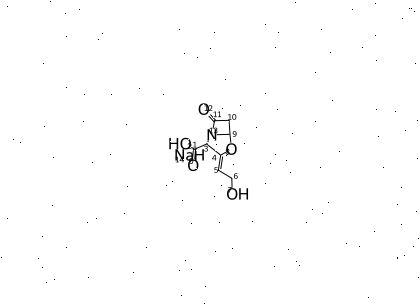 O=C(O)C1C(=CCO)OC2CC(=O)N21.[NaH]